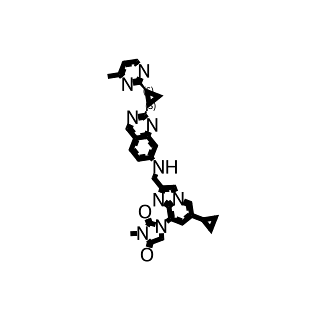 Cc1ccnc([C@H]2C[C@@H]2c2ncc3ccc(NCc4cn5cc(C6CC6)cc(N6CC(=O)N(C)C6=O)c5n4)cc3n2)n1